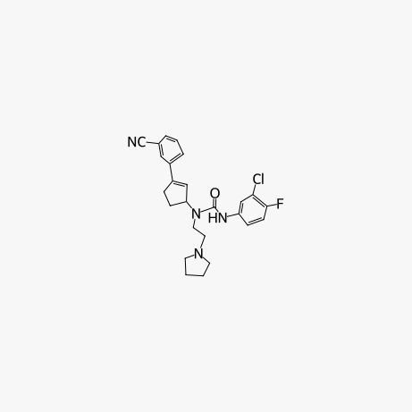 N#Cc1cccc(C2=CC(N(CCN3CCCC3)C(=O)Nc3ccc(F)c(Cl)c3)CC2)c1